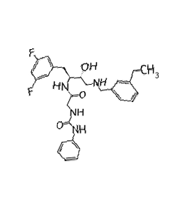 CCc1cccc(CNC[C@@H](O)[C@H](Cc2cc(F)cc(F)c2)NC(=O)CNC(=O)Nc2ccccc2)c1